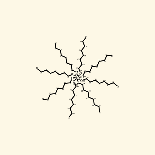 CCCCCCCC[O][Zn]([O]CCCCCCCC)([O]CCCCCCCC)([O]CCCCCCCC)([O]CCCCCCCC)([O]CCCCCCCC)([O]CCCCCCCC)[O]CCCCCCCC